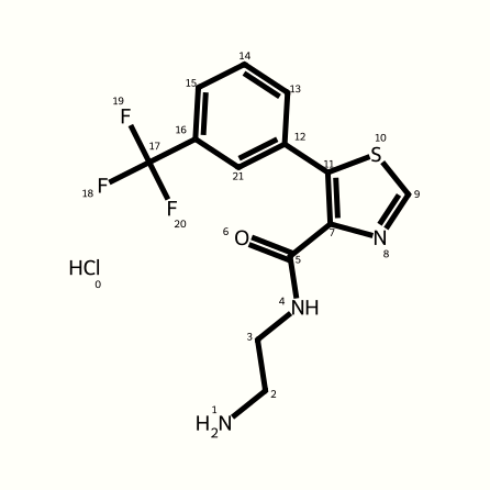 Cl.NCCNC(=O)c1ncsc1-c1cccc(C(F)(F)F)c1